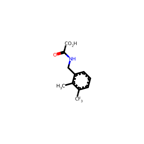 Cc1c(CNC(=O)C(=O)O)cccc1C(F)(F)F